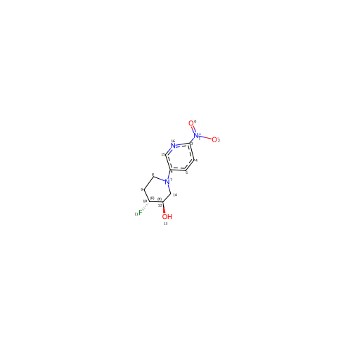 O=[N+]([O-])c1ccc(N2CC[C@@H](F)[C@H](O)C2)cn1